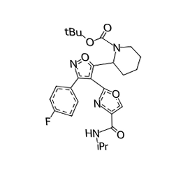 CC(C)NC(=O)c1coc(-c2c(-c3ccc(F)cc3)noc2C2CCCCN2C(=O)OC(C)(C)C)n1